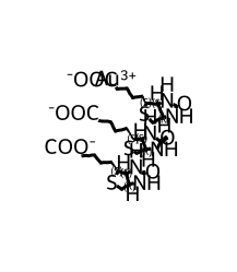 O=C([O-])CCCC[C@@H]1SC[C@@H]2NC(=O)N[C@@H]21.O=C([O-])CCCC[C@@H]1SC[C@@H]2NC(=O)N[C@@H]21.O=C([O-])CCCC[C@@H]1SC[C@@H]2NC(=O)N[C@@H]21.[Au+3]